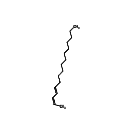 C/[C]=C\C=C\CCCCCCCCCCC